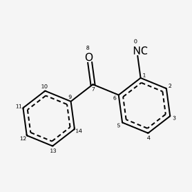 [C-]#[N+]c1ccccc1C(=O)c1ccccc1